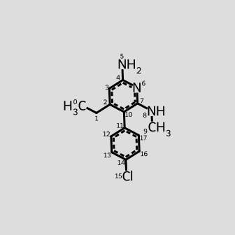 CCc1cc(N)nc(NC)c1-c1ccc(Cl)cc1